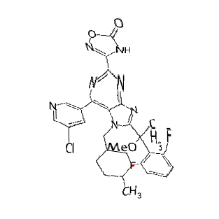 COC(C)(c1c(F)cccc1F)c1nc2nc(-c3noc(=O)[nH]3)nc(-c3cncc(Cl)c3)c2n1CC1CCC(C)CC1